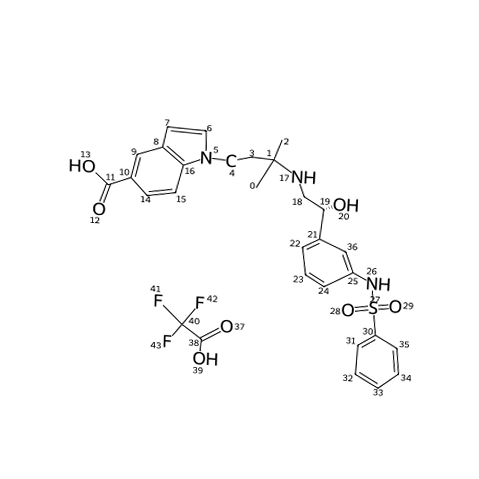 CC(C)(CCn1ccc2cc(C(=O)O)ccc21)NC[C@H](O)c1cccc(NS(=O)(=O)c2ccccc2)c1.O=C(O)C(F)(F)F